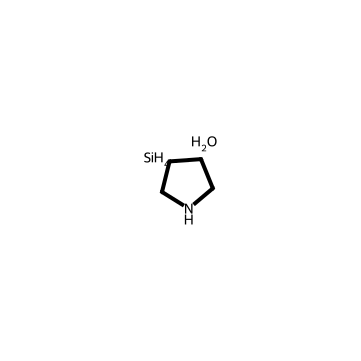 C1CCNC1.O.[SiH4]